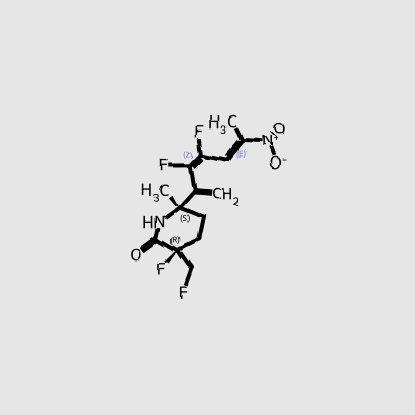 C=C(/C(F)=C(F)\C=C(/C)[N+](=O)[O-])[C@]1(C)CC[C@](F)(CF)C(=O)N1